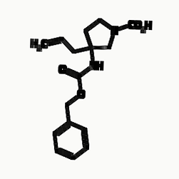 C=CCC1(NC(=O)OCc2ccccc2)CCN(C(=O)O)C1